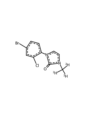 [2H]C([2H])([2H])n1ccn(-c2ccc(Br)cc2Cl)c1=O